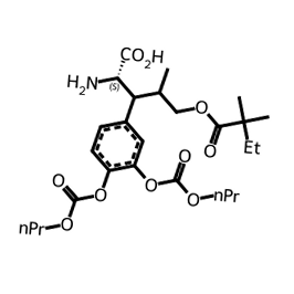 CCCOC(=O)Oc1ccc(C(C(C)COC(=O)C(C)(C)CC)[C@H](N)C(=O)O)cc1OC(=O)OCCC